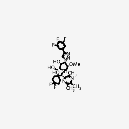 CO[C@H]1C[SH]([C@@H](c2nc(C)c(C)nc2C)C2(O)CCC(F)(F)CC2)[C@H](CO)[C@H](O)[C@@H]1n1cc(-c2cc(F)c(F)c(F)c2)nn1